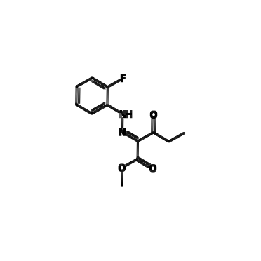 CCC(=O)/C(=N\Nc1ccccc1F)C(=O)OC